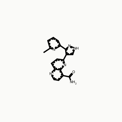 Cc1cccc(-c2n[nH]cc2-c2ccc3nccc(C(N)=O)c3n2)n1